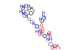 CC(C)c1ccccc1C1CN(Cc2cnn(C)c2)CCN1C1CC2(CCN(c3ccc(C(=O)NS(=O)(=O)c4ccc(NC[C@H]5CC[C@](C)(O)CC5)c([N+](=O)[O-])c4)c(Oc4cnc5[nH]ccc5c4)c3)CC2)C1